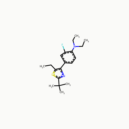 CCc1sc(C(C)(C)C)nc1-c1ccc(N(CC)CC)c(F)c1